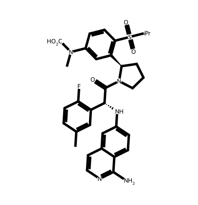 Cc1ccc(F)c([C@@H](Nc2ccc3c(N)nccc3c2)C(=O)N2CCC[C@@H]2c2cc(N(C)C(=O)O)ccc2S(=O)(=O)C(C)C)c1